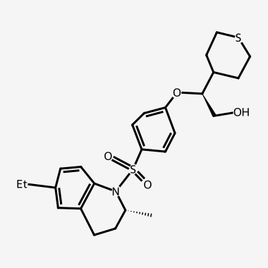 CCc1ccc2c(c1)CC[C@@H](C)N2S(=O)(=O)c1ccc(O[C@H](CO)C2CCSCC2)cc1